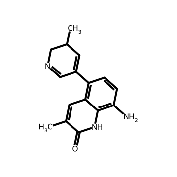 Cc1cc2c(C3=CC(C)CN=C3)ccc(N)c2[nH]c1=O